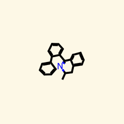 CC1Cc2ccccc2C(c2ccccc2-c2ccccc2)=N1